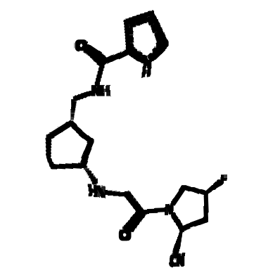 N#C[C@@H]1C[C@H](F)CN1C(=O)CN[C@@H]1CC[C@H](CNC(=O)c2ccc[nH]2)C1